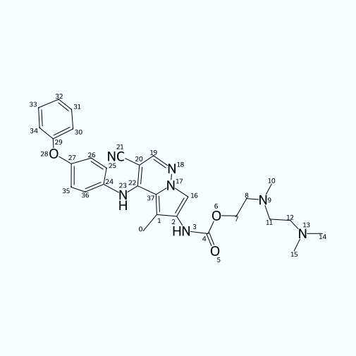 Cc1c(NC(=O)OCCN(C)CCN(C)C)cn2ncc(C#N)c(Nc3ccc(Oc4ccccc4)cc3)c12